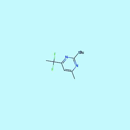 Cc1cc(C(C)(F)F)nc(C(C)(C)C)n1